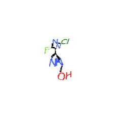 OCCn1cc(-c2nc(Cl)ncc2F)cn1